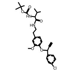 C#CC(Oc1ccc(CCNC(=O)C(NC(=O)OC(C)(C)C)C(C)C)cc1OC)c1ccc(Cl)cc1